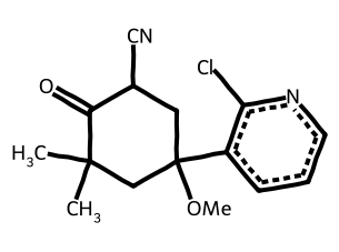 COC1(c2cccnc2Cl)CC(C#N)C(=O)C(C)(C)C1